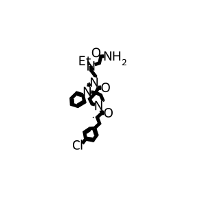 CCN(CCN1CN(c2ccccc2)C2(CCN(C(=O)[CH]Cc3ccc(Cl)cc3)CC2)C1=O)CC(N)=O